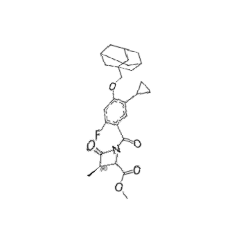 COC(=O)C1[C@@H](C)C(=O)N1C(=O)c1cc(C2CC2)c(OCC23CC4CC(CC(C4)C2)C3)cc1F